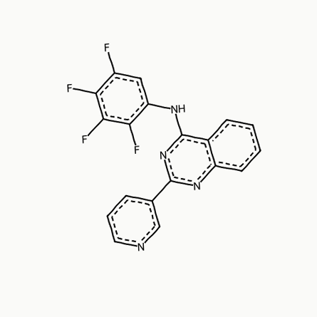 Fc1cc(Nc2nc(-c3cccnc3)nc3ccccc23)c(F)c(F)c1F